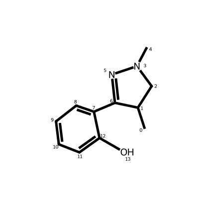 CC1CN(C)N=C1c1ccccc1O